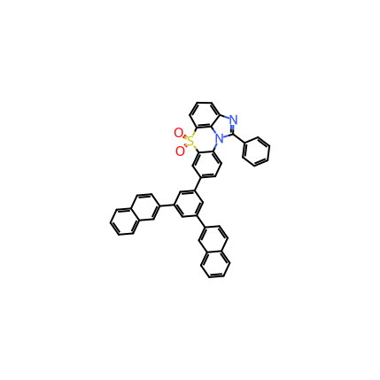 O=S1(=O)c2cc(-c3cc(-c4ccc5ccccc5c4)cc(-c4ccc5ccccc5c4)c3)ccc2-n2c(-c3ccccc3)nc3cccc1c32